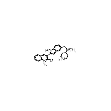 CN(Cc1ccc2[nH]c(-c3cc4ccccc4[nH]c3=O)cc2c1)C1CCNCC1